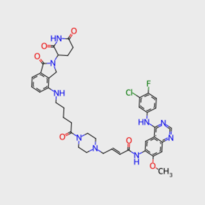 COc1cc2ncnc(Nc3ccc(F)c(Cl)c3)c2cc1NC(=O)/C=C/CN1CCN(C(=O)CCCCNc2cccc3c2CN(C2CCC(=O)NC2=O)C3=O)CC1